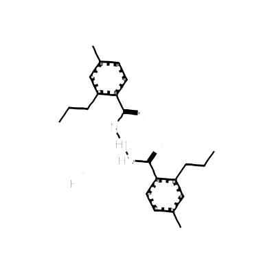 CCCc1cc(C)ccc1C(=O)[NH][Hf+2][NH]C(=O)c1ccc(C)cc1CCC.[F-].[F-]